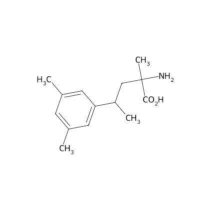 Cc1cc(C)cc(C(C)CC(C)(N)C(=O)O)c1